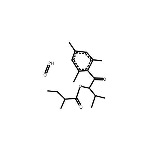 CCC(C)C(=O)OC(C(=O)c1c(C)cc(C)cc1C)C(C)C.O=P